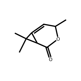 CC1C=C2C(C(=O)O1)C2(C)C